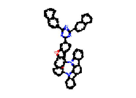 c1ccc(-n2c3ccccc3c3ccc4c5ccccc5n(-c5cccc6oc7cc(-c8nc(-c9ccc%10ccccc%10c9)nc(-c9ccc%10ccccc%10c9)n8)ccc7c56)c4c32)cc1